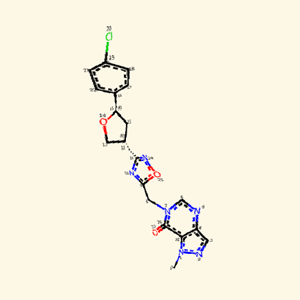 Cn1ncc2ncn(Cc3nc([C@@H]4CO[C@@H](c5ccc(Cl)cc5)C4)no3)c(=O)c21